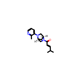 Cc1ncccc1N1C[C@@H]2C[C@H]1CN2C(=O)C=CC(C)C